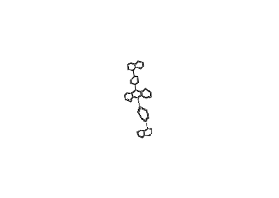 c1ccc2c(-c3ccc(-c4c5ccccc5c(-c5ccc(-c6cccc7ccccc67)cc5)c5ccccc45)cc3)cccc2c1